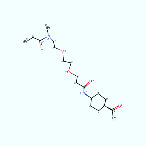 CCC(=O)[C@H]1CC[C@@H](NC(=O)CCOCCOCCN(C(=O)CC(C)C)C(C)C)CC1